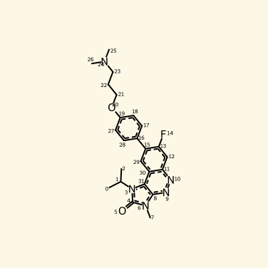 CC(C)n1c(=O)n(C)c2nnc3cc(F)c(-c4ccc(OCCCN(C)C)cc4)cc3c21